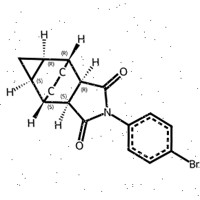 O=C1[C@@H]2[C@@H]3CC[C@@H]([C@H]4C[C@H]43)[C@@H]2C(=O)N1c1ccc(Br)cc1